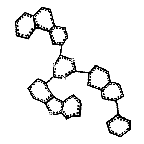 c1ccc(-c2ccc3ccc(-c4nc(-c5ccc6ccc7ccccc7c6c5)nc(-c5cccc6oc7ccccc7c56)n4)cc3c2)cc1